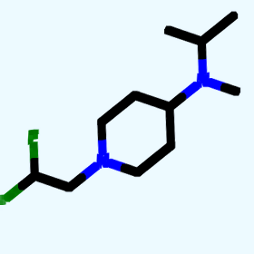 CC(C)N(C)C1CCN(CC(F)F)CC1